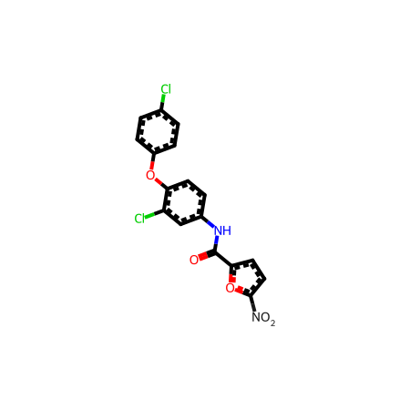 O=C(Nc1ccc(Oc2ccc(Cl)cc2)c(Cl)c1)c1ccc([N+](=O)[O-])o1